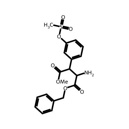 COC(=O)C(c1cccc(OS(C)(=O)=O)c1)C(N)C(=O)OCc1ccccc1